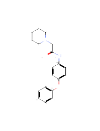 O=C(CN1CCCCC1)Nc1ccc(Oc2ccccc2)cc1